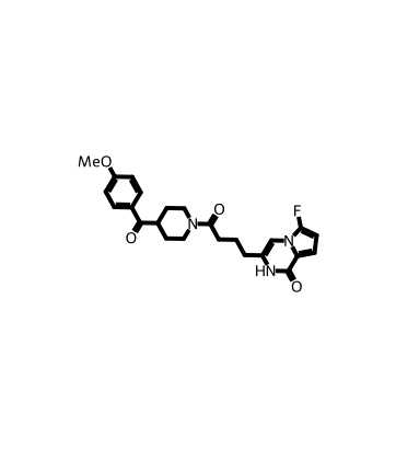 COc1ccc(C(=O)C2CCN(C(=O)CCCc3cn4c(F)ccc4c(=O)[nH]3)CC2)cc1